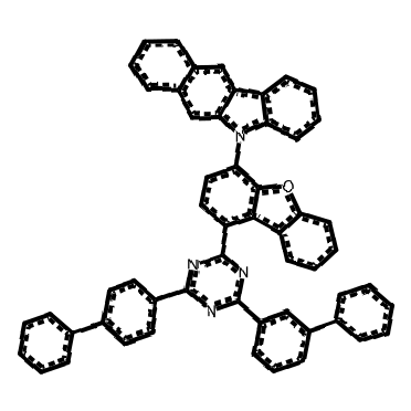 c1ccc(-c2ccc(-c3nc(-c4cccc(-c5ccccc5)c4)nc(-c4ccc(-n5c6ccccc6c6cc7ccccc7cc65)c5oc6ccccc6c45)n3)cc2)cc1